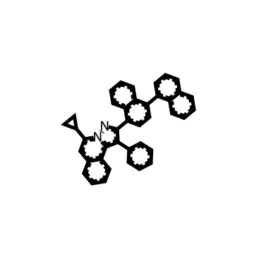 c1ccc(-c2c(-c3ccc(-c4cccc5ccccc45)c4ccccc34)nn3c(C4CC4)cc4ccccc4c23)cc1